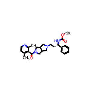 Cc1ccnc(C)c1C(=O)N1CC2CN(CC[C@H](NC(=O)OC(C)(C)C)c3ccccc3)CC2C1